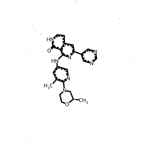 Cc1cc(Nc2nc(-c3cncnc3)cc3cc[nH]c(=O)c23)cnc1N1CCO[C@H](C)C1